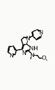 COCCN(C)C1=NC(c2cccnc2)=C2CCN(c3ccncc3)C2N1